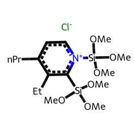 CCCc1cc[n+]([Si](OC)(OC)OC)c([Si](OC)(OC)OC)c1CC.[Cl-]